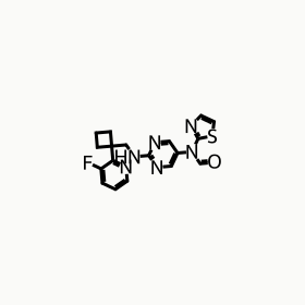 O=CN(c1cnc(NCC2(c3ncccc3F)CCC2)nc1)c1nccs1